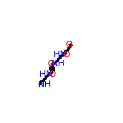 CNCCCCCCNC(=O)c1ccc(C(=O)NCCCCCCNC(=O)CCCCC(C)=O)cc1